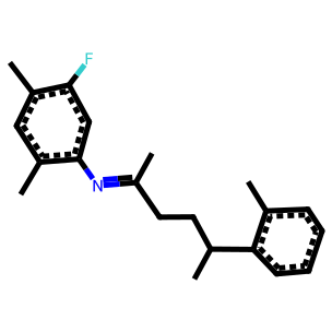 C/C(CCC(C)c1ccccc1C)=N\c1cc(F)c(C)cc1C